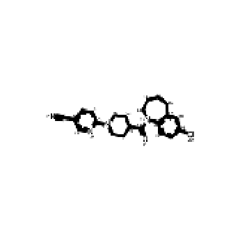 N#Cc1ccc(N2CCC(C(=O)N3CCCCc4cc(Cl)ccc43)CC2)nc1